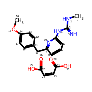 CNC(=N)Nc1cccc(Cc2ccc(OC)cc2)n1.O=C(O)/C=C\C(=O)O